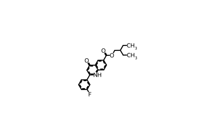 CCC(CC)COC(=O)c1ccc2[nH]c(-c3cccc(F)c3)cc(=O)c2c1